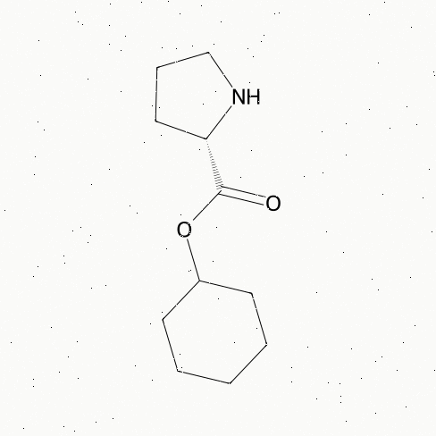 O=C(OC1CCCCC1)[C@@H]1CCCN1